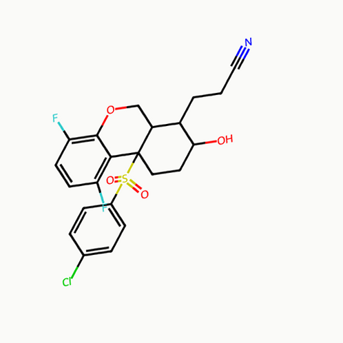 N#CCCC1C(O)CCC2(S(=O)(=O)c3ccc(Cl)cc3)c3c(F)ccc(F)c3OCC12